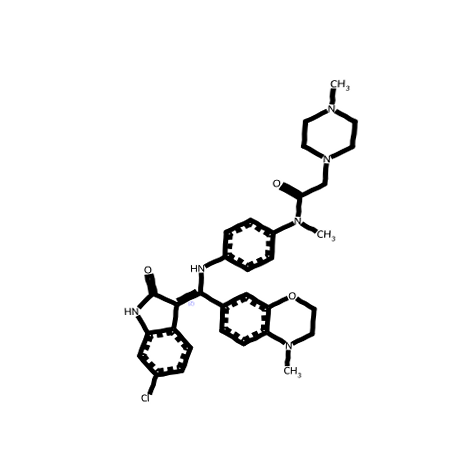 CN1CCN(CC(=O)N(C)c2ccc(N/C(=C3\C(=O)Nc4cc(Cl)ccc43)c3ccc4c(c3)OCCN4C)cc2)CC1